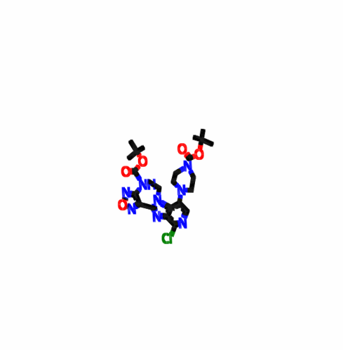 CCn1c(-c2nonc2NC(=O)OC(C)(C)C)nc2c(Cl)ncc(N3CCN(C(=O)OC(C)(C)C)CC3)c21